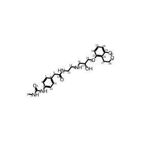 CNC(=O)Nc1ccc(CC(=O)NCCNCC(O)COc2cccc3c2CCOO3)cc1